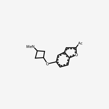 CNC1CC(Oc2ccc3oc(C(C)=O)cc3c2)C1